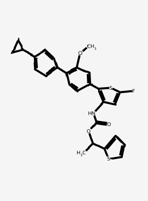 COc1cc(-c2sc(F)cc2NC(=O)OC(C)c2cccs2)ccc1-c1ccc(C2CC2)cc1